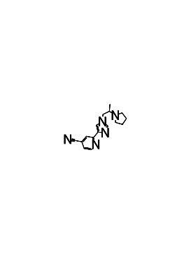 CC(Cn1cnc(-c2cc(C#N)ccn2)c1)N1CCCC1